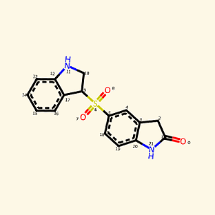 O=C1Cc2cc(S(=O)(=O)C3CNc4ccccc43)ccc2N1